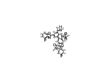 CNC(=O)c1c(-c2ccc(F)cc2)oc2cc(N(C)S(C)(=O)=O)c(-c3cc(-c4nc5c(F)cccc5o4)cc(C(C)N)c3)cc12